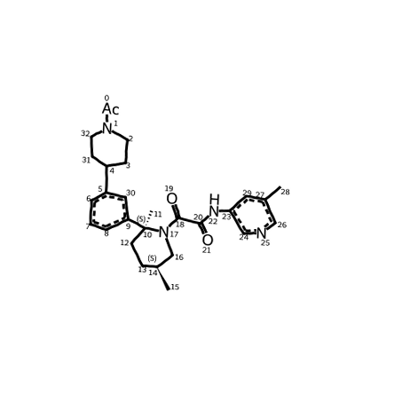 CC(=O)N1CCC(c2cccc([C@]3(C)CC[C@H](C)CN3C(=O)C(=O)Nc3cncc(C)c3)c2)CC1